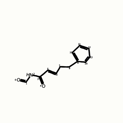 O=CNC(=O)C=CCCc1ccccc1